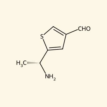 C[C@@H](N)c1cc(C=O)cs1